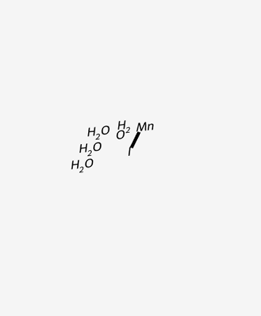 O.O.O.O.[Mn][I]